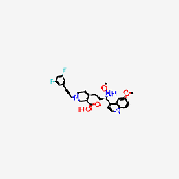 CON[C@H](CC[C@@H]1CCN(CC#Cc2cc(F)cc(F)c2)C[C@@H]1C(=O)O)c1ccnc2ccc(OC)cc12